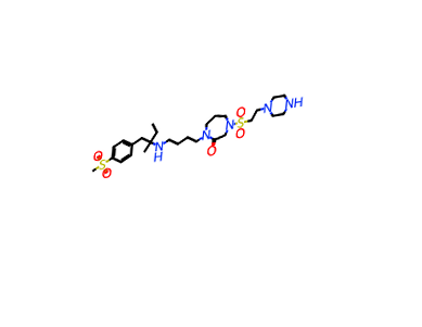 CCC(C)(Cc1ccc(S(C)(=O)=O)cc1)NCCCCN1CCCN(S(=O)(=O)CCN2CCNCC2)CC1=O